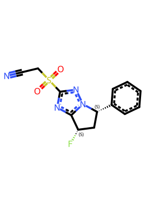 N#CCS(=O)(=O)c1nc2n(n1)[C@H](c1ccccc1)C[C@@H]2F